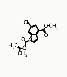 C=C(C)OC(=O)n1ccc2c(C(=O)OC)cc(Cl)cc21